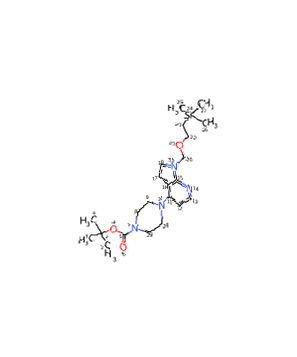 CC(C)(C)OC(=O)N1CCN(c2ccnc3c2ccn3COCC[Si](C)(C)C)CC1